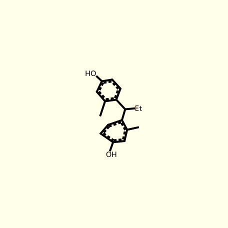 CCC(c1ccc(O)cc1C)c1ccc(O)cc1C